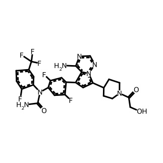 NC(=O)N(c1cc(C(F)(F)F)ccc1F)c1cc(F)c(-c2cc(C3CCN(C(=O)CO)CC3)n3ncnc(N)c23)cc1F